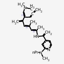 C=C=C/C(=C\N(C)C)C(=C)/C=C(C)/C=C(\C)NC(=C)c1ccnc(N(C)CCC)c1